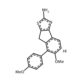 COc1ccc(-c2c(OC)ccc3c2Cc2sc(N)nc2-3)cc1.I